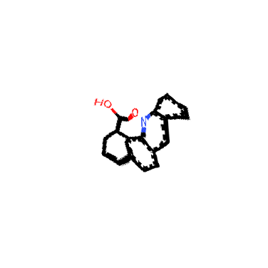 O=C(O)C1CC=Cc2ccc3cc4ccccc4nc3c21